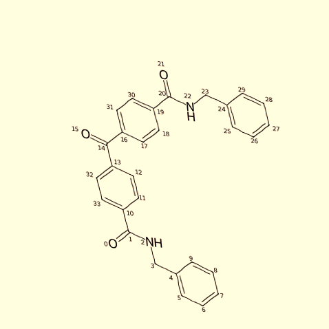 O=C(NCc1ccccc1)c1ccc(C(=O)c2ccc(C(=O)NCc3ccccc3)cc2)cc1